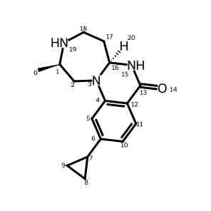 C[C@@H]1CN2c3cc(C4CC4)ccc3C(=O)N[C@@H]2CCN1